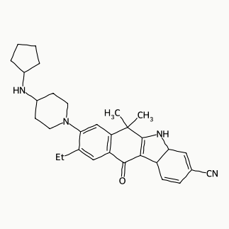 CCc1cc2c(cc1N1CCC(NC3CCCC3)CC1)C(C)(C)C1=C(C2=O)C2C=CC(C#N)=CC2N1